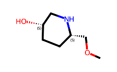 COC[C@@H]1CC[C@H](O)CN1